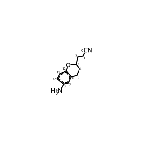 N#CCCC1CCc2cc(N)ccc2O1